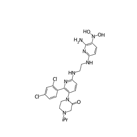 CC(C)N1CCN(c2ccc(NCCNc3ccc(N(O)O)c(N)n3)nc2-c2ccc(Cl)cc2Cl)C(=O)C1